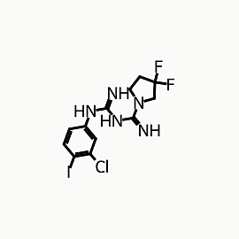 N=C(NC(=N)N1CCC(F)(F)C1)Nc1ccc(I)c(Cl)c1